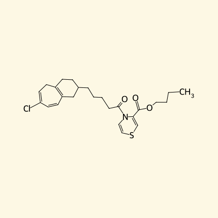 CCCCOC(=O)C1=CSC=CN1C(=O)CCCCC1CCC2=C(C=CC(Cl)=CC2)C1